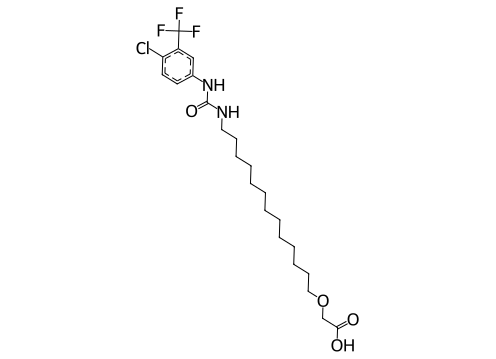 O=C(O)COCCCCCCCCCCCCCNC(=O)Nc1ccc(Cl)c(C(F)(F)F)c1